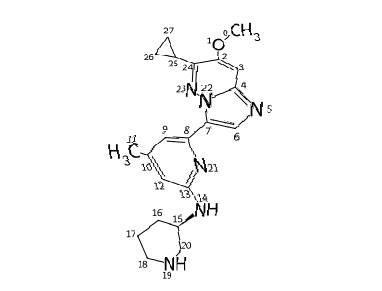 COc1cc2ncc(-c3cc(C)cc(N[C@@H]4CCCNC4)n3)n2nc1C1CC1